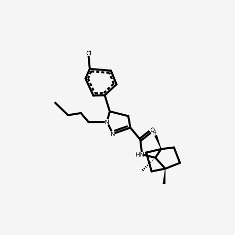 CCCCN1N=C(C(=O)N[C@@]2(C)[C@H]3CC[C@]2(C)CC3)CC1c1ccc(Cl)cc1